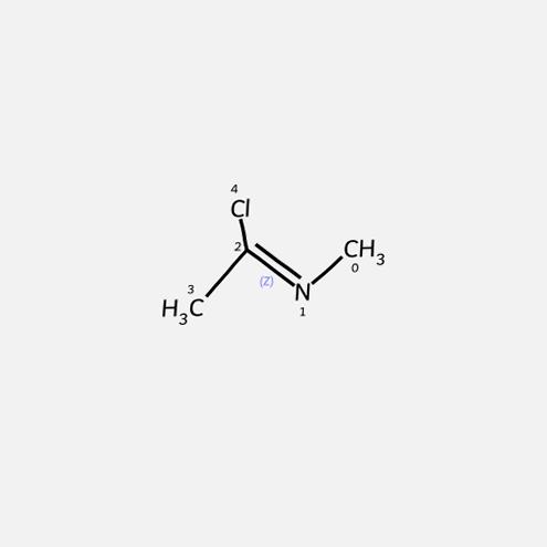 C/N=C(/C)Cl